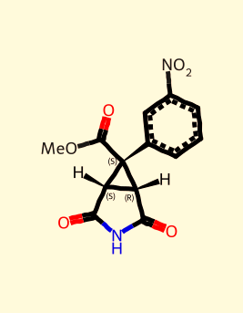 COC(=O)[C@]1(c2cccc([N+](=O)[O-])c2)[C@@H]2C(=O)NC(=O)[C@@H]21